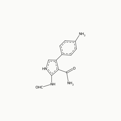 NC(=O)c1c(-c2ccc(N)cc2)c[nH]c1NC=O